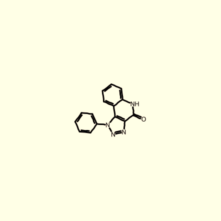 O=c1[nH]c2ccccc2c2c1nnn2-c1ccccc1